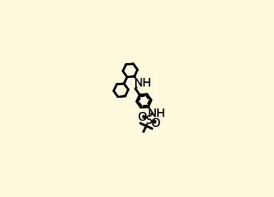 CC(C)(C)S(=O)(=O)Nc1ccc(CNC2CCCCC2C2CCCCC2)cc1